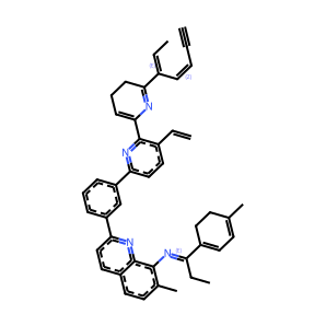 C#C/C=C\C(=C/C)C1=NC(c2nc(-c3cccc(-c4ccc5ccc(C)c(/N=C(\CC)C6=CC=C(C)CC6)c5n4)c3)ccc2C=C)=CCC1